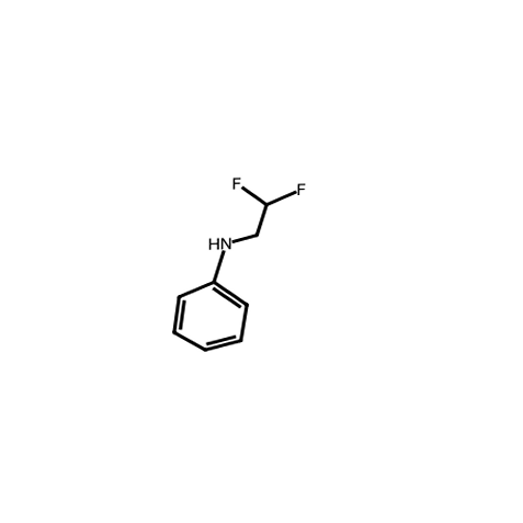 FC(F)CNc1ccccc1